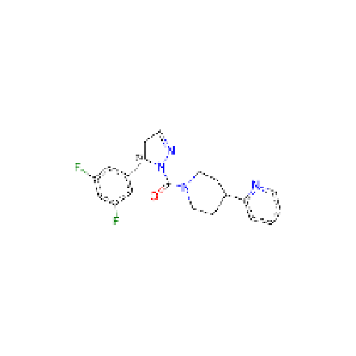 O=C(N1CCC(c2ccccn2)CC1)N1N=CC[C@H]1c1cc(F)cc(F)c1